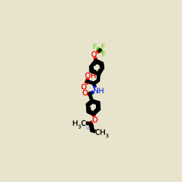 C/C=C(/C)Oc1ccc(C(=O)NC(Cc2ccc(OC(F)(F)F)cc2)C(=O)O)cc1